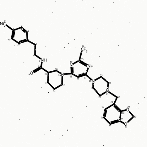 N#Cc1ccc(CCNC(=O)C2CCCN(c3cc(N4CCN(Cc5cccc6c5OCO6)CC4)nc(C(F)(F)F)n3)C2)cc1